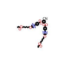 C=CC(=O)OCCCCCCOc1cnc(-c2ccc(C(=O)Oc3ccc(C#N)cc3OC(=O)c3ccc(-c4ncc(OCCCCCCOC(=O)C=C)cn4)cc3)cc2)nc1